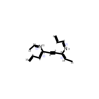 C=C/C=N\C(C#CC(=C/C=C)/N=C\C)=C/C